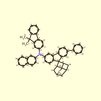 CC1(C)c2ccccc2-c2ccc(N(c3ccc4c(c3)-c3ccc(-c5ccccc5)cc3C43C4CC5CC6CC3C64C5)c3ccc4ccccc4c3)cc21